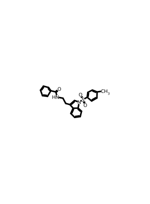 Cc1ccc(S(=O)(=O)n2cc(CCNC(=O)c3ccccc3)c3ccccc32)cc1